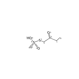 CCC(=O)CSS(=O)(=O)O